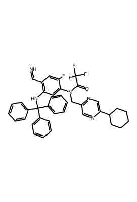 N=Cc1cc(F)c(N(Cc2cnc(C3CCCCC3)cn2)C(=O)C(F)(F)F)cc1NC(c1ccccc1)(c1ccccc1)c1ccccc1